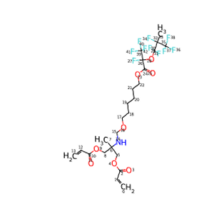 C=CC(=O)OCC(C)(COC(=O)C=C)NCOCCCCCCOC(=O)C(F)(OC(F)(F)C(C)(F)C(F)(F)F)C(F)(F)F